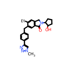 CCc1cc2c(cc1Cc1ccc(-c3cn(C)nn3)cc1)C(=O)N(C1CCCC1O)C2